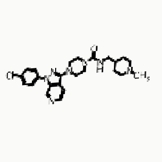 CN1CCC(CNC(=O)N2CCN(c3nn(-c4ccc(Cl)cc4)c4cnccc34)CC2)CC1